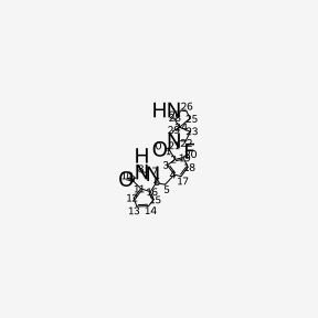 O=C(c1cc(Cc2n[nH]c(=O)c3ccccc23)ccc1F)N1CCC2(CCNC2)C1